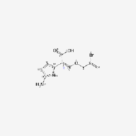 C=C(Br)CO/N=C(\C(=O)O)c1csc(N)n1